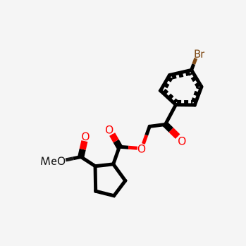 COC(=O)C1CCCC1C(=O)OCC(=O)c1ccc(Br)cc1